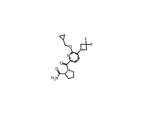 NC(=O)C1CCCN1C(=O)c1ccc(N2CC(F)(F)C2)c(OCC2CC2)n1